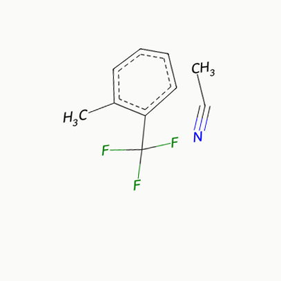 CC#N.Cc1ccccc1C(F)(F)F